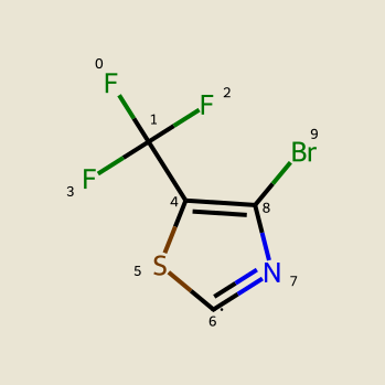 FC(F)(F)c1s[c]nc1Br